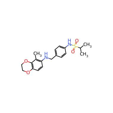 Cc1c(NCc2ccc(NS(=O)(=O)C(C)C)cc2)ccc2c1OCCO2